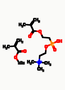 C=C(C)C(=O)OCCCC.C=C(C)C(=O)OCCP(=O)(O)OCC[N+](C)(C)C